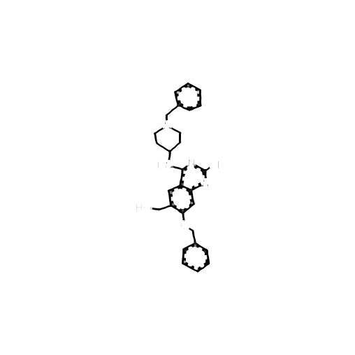 OCc1cc2c(NC3CCN(Cc4ccccc4)CC3)nc(Cl)nc2cc1OCc1ccccc1